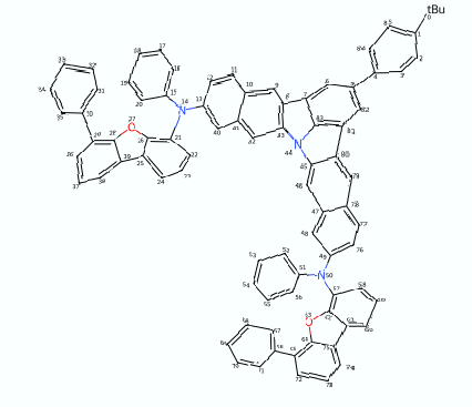 CC(C)(C)c1ccc(-c2cc3c4cc5ccc(N(c6ccccc6)c6cccc7c6oc6c(-c8ccccc8)cccc67)cc5cc4n4c5cc6cc(N(c7ccccc7)c7cccc8c7oc7c(-c9ccccc9)cccc78)ccc6cc5c(c2)c34)cc1